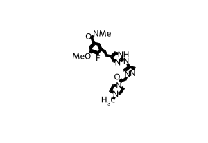 CNC(=O)c1cc(CCc2cnc(Nc3cnn(CC(=O)N4CCN(C)CC4)c3)nc2)c(F)c(OC)c1